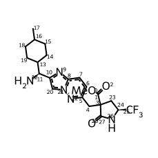 COC(=O)C1(Cc2ccc3nc([C@@H](N)C4CCC(C)CC4)cn3n2)C[C@@H](C(F)(F)F)NC1=O